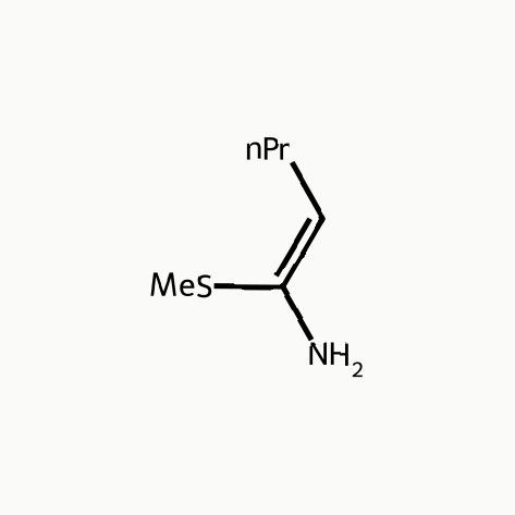 CCC/C=C(/N)SC